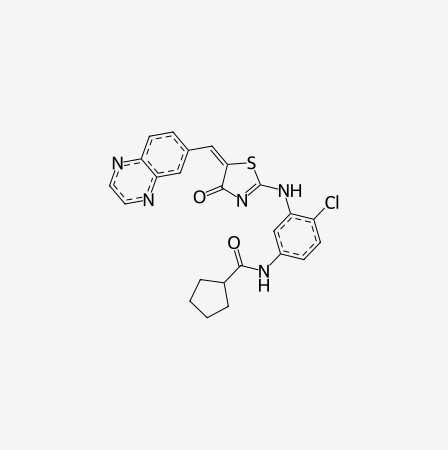 O=C1N=C(Nc2cc(NC(=O)C3CCCC3)ccc2Cl)SC1=Cc1ccc2nccnc2c1